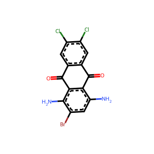 Nc1cc(Br)c(N)c2c1C(=O)c1cc(Cl)c(Cl)cc1C2=O